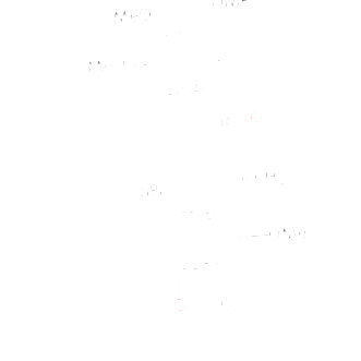 CCCc1cc2c(c(OC)c1C(C)CC(=O)c1cc(OC)c(OC)c(OC)c1)OCO2